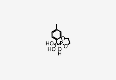 Cc1ccc(P(O)(O)(O)P2OCCO2)cc1